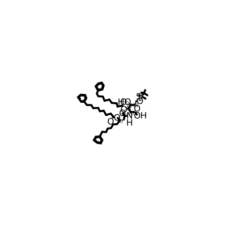 CC(C)(C)[Si](C)(C)OC[C@H]1OC(O)[C@H](NC(=O)C[C@H](CCCCCCc2ccccc2)OC(=O)CCCCCCCCc2ccccc2)[C@@H](OC(=O)CCCCCCCCc2ccccc2)[C@@H]1O